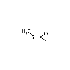 CSC1CO1